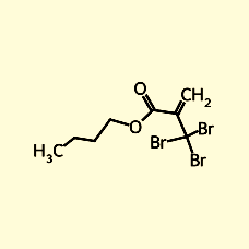 C=C(C(=O)OCCCC)C(Br)(Br)Br